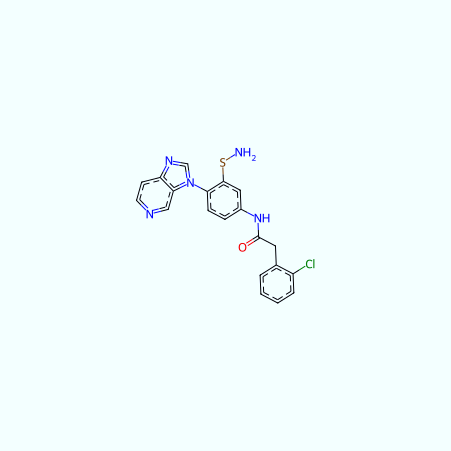 NSc1cc(NC(=O)Cc2ccccc2Cl)ccc1-n1cnc2ccncc21